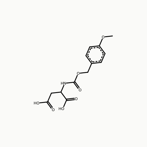 COc1ccc(COC(=O)NC(CC(=O)O)C(=O)O)cc1